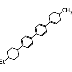 CCC1CCC(c2ccc(-c3ccc(C4=CCC(C)CC4)cc3)cc2)CC1